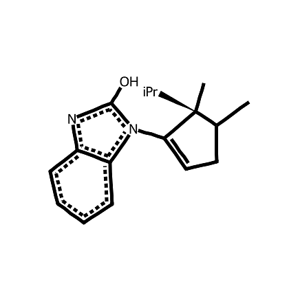 CC(C)[C@]1(C)C(n2c(O)nc3ccccc32)=CCC1C